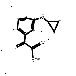 C=C(C(=O)OC)c1cccc(OC2CC2)c1